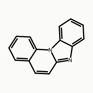 c1ccc2c(c1)ccc1nc3ccccc3n12